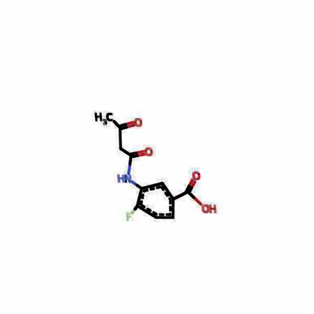 CC(=O)CC(=O)Nc1cc(C(=O)O)ccc1F